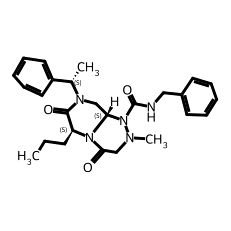 CCC[C@H]1C(=O)N([C@@H](C)c2ccccc2)C[C@H]2N1C(=O)CN(C)N2C(=O)NCc1ccccc1